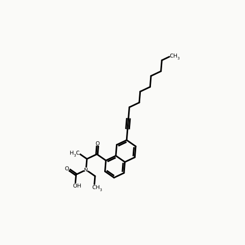 CCCCCCCCC#Cc1ccc2cccc(C(=O)C(C)N(CC)C(=O)O)c2c1